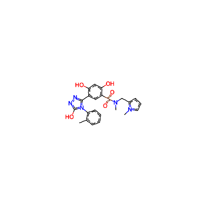 Cc1ccccc1-n1c(O)nnc1-c1cc(S(=O)(=O)N(C)Cc2cccn2C)c(O)cc1O